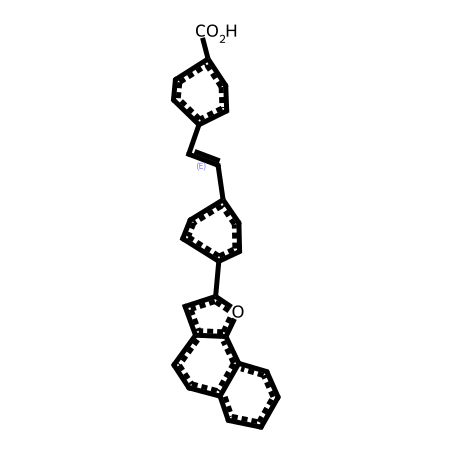 O=C(O)c1ccc(/C=C/c2ccc(-c3cc4ccc5ccccc5c4o3)cc2)cc1